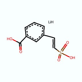 O=C(O)c1cccc(C=CS(=O)(=O)O)c1.[LiH]